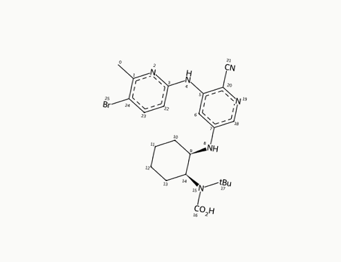 Cc1nc(Nc2cc(N[C@@H]3CCCC[C@@H]3N(C(=O)O)C(C)(C)C)cnc2C#N)ccc1Br